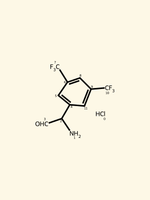 Cl.NC(C=O)c1cc(C(F)(F)F)cc(C(F)(F)F)c1